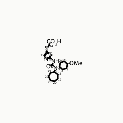 CO[C@H]1CC[C@H](N(C(=O)Nc2ncc(SCC(=O)O)s2)C2CCCCCC2)CC1